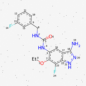 CCOc1c(NC(=O)NCc2cccc(F)c2)cc2c(N)n[nH]c2c1F